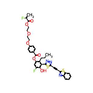 C=C(F)C(=O)OCCOCCOc1ccc(C(=O)Oc2cc(F)c(O)c(-c3nnc(C#Cc4nc5ccccc5s4)s3)c2CCC)cc1